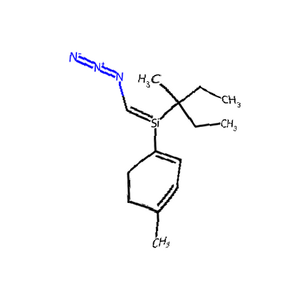 CCC(C)(CC)[Si](=CN=[N+]=[N-])C1=CC=C(C)CC1